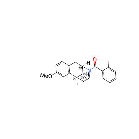 COc1ccc2c(c1)[C@]1(C)CCN(C(=O)c3ccccc3C)[C@H](C2)[C@@H]1C